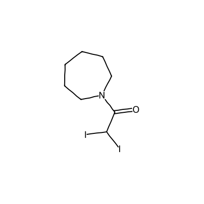 O=C(C(I)I)N1CCCCCC1